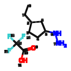 CCC1CCC(NN)C1.O=C(O)C(F)(F)F